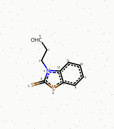 O=CCCn1c(=S)sc2ccccc21